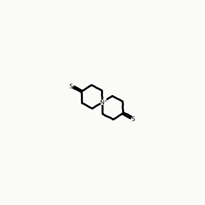 S=C1CC[N+]2(CC1)CCC(=S)CC2